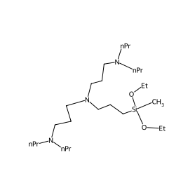 CCCN(CCC)CCCN(CCCN(CCC)CCC)CCC[Si](C)(OCC)OCC